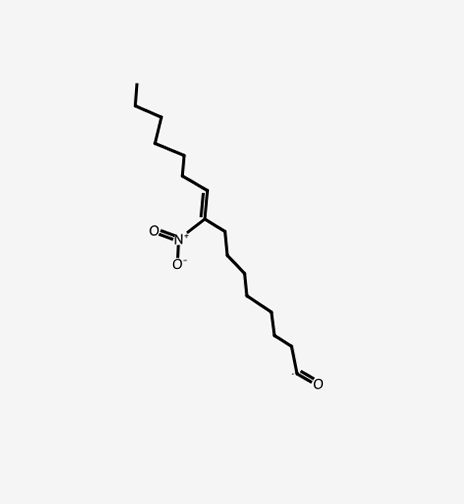 CCCCCC/C=C(/CCCCCCC[C]=O)[N+](=O)[O-]